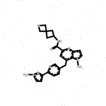 Cn1ccc(-c2ccc(Cc3cc(C(=O)NC4CC5(COC5)C4)nc4ccn(C)c34)cn2)n1